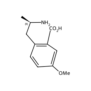 COc1ccc(C[C@@H](C)N)c(C(=O)O)c1